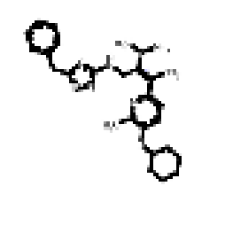 Cc1nc(/C(N)=C(\CNc2nnc(Cc3ccccc3)o2)N(C)N)ccc1OC1CCCCC1